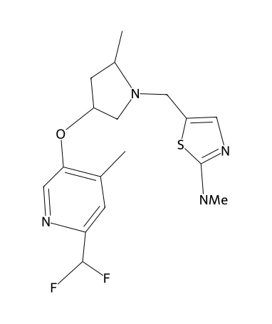 CNc1ncc(CN2CC(Oc3cnc(C(F)F)cc3C)CC2C)s1